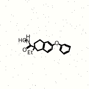 CCC1(C(=O)NO)CCc2cc(Oc3ccccc3)ccc2C1